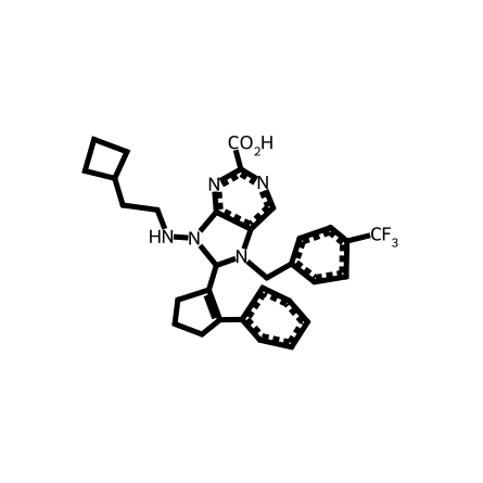 O=C(O)c1ncc2c(n1)N(NCCC1CCC1)C(C1=C(c3ccccc3)CCC1)N2Cc1ccc(C(F)(F)F)cc1